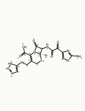 Nc1nc(C(=O)C(=O)NC2C(=O)N3C(C(=O)O)=C(CSc4cnn[nH]4)CS[C@H]23)cs1